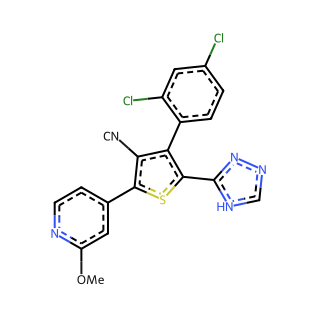 [C-]#[N+]c1c(-c2ccnc(OC)c2)sc(-c2nnc[nH]2)c1-c1ccc(Cl)cc1Cl